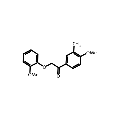 COc1ccc(C(=O)COc2ccccc2OC)cc1C